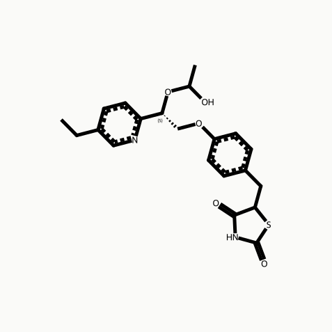 CCc1ccc([C@@H](COc2ccc(CC3SC(=O)NC3=O)cc2)OC(C)O)nc1